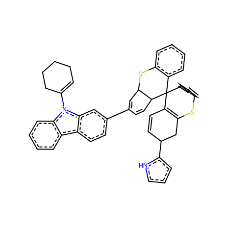 C1=CC2SC3=C(C=CC(c4ccc[nH]4)C3)C3(c4ccccc4SC4C=C(c5ccc6c7ccccc7n(C7=CCCCC7)c6c5)C=CC43)C2C=C1